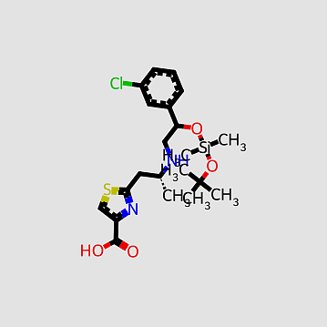 C[C@H](Cc1nc(C(=O)O)cs1)NCC(O[Si](C)(C)OC(C)(C)C)c1cccc(Cl)c1